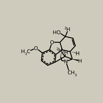 [2H]C1(O)C=C[C@H]2[C@@H]3N(C)CC[C@@]24c2c(ccc(OC)c2OC14)C3([2H])[2H]